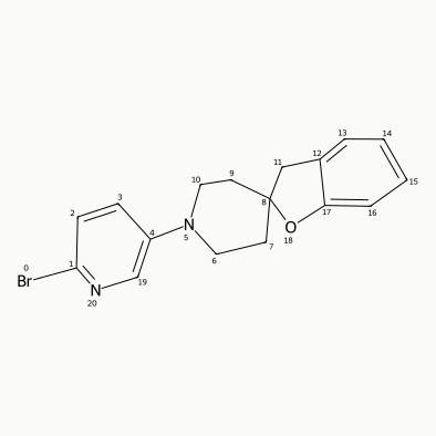 Brc1ccc(N2CCC3(CC2)Cc2ccccc2O3)cn1